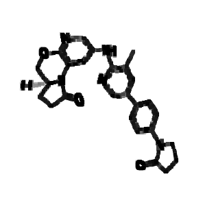 Cc1cc(-c2ccc(N3CCCC3=O)cc2)cnc1Nc1cnc2c(c1)N1C(=O)CC[C@H]1CO2